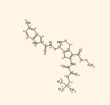 CCOC(=O)c1c(NC(=O)C(=O)OCC(C)(C)C)sc2c1CCNC2CNC(=O)c1cc2cc(O)ccc2[nH]1